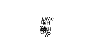 COCCC(=O)NCCCC[C@H](NC(=O)OCC1c2ccccc2-c2ccccc21)C(=O)ON1C(=O)CCC1=O